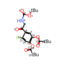 CC(C)(C)OC(=O)NCC(=O)c1cc(OC(=O)C(C)(C)C)c(OC(=O)C(C)(C)C)cc1F